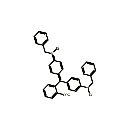 CCN(Cc1ccccc1)c1ccc(C(=C2C=CC(=[N+](CC)Cc3ccccc3)C=C2)c2ccccc2C(=O)[O-])cc1